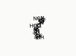 CN(c1ncc(-c2ccc(-c3cc(C#N)c4nccn4n3)cc2O)nn1)C1CC(C)(C)NC(C)(C)C1